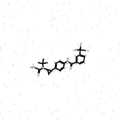 CC(C)(C)N(C(=O)O)C1CC1c1ccc(NC(=O)c2cccc(C(F)(F)F)c2)cc1